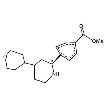 COC(=O)c1ccc([C@@H]2CC(C3CCOCC3)CCN2)cc1